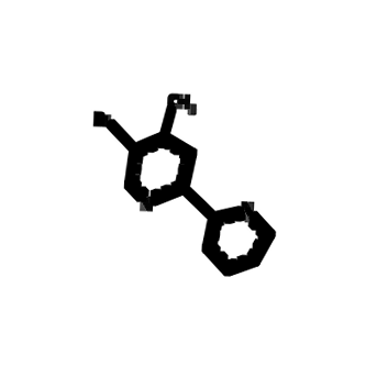 Cc1cc(-c2ccccn2)ncc1Br